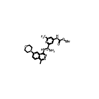 Cc1nnc(N[C@H](N)c2cc(NC(=O)OC(C)(C)C)cc(C(F)(F)F)n2)c2cc(N3CCOCC3)ccc12